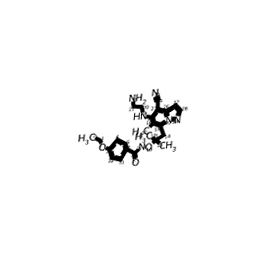 CCOc1ccc(C(=O)[N]OC(C)(C)Cc2c(C)c(NCCN)c(C#N)c3ccnn23)cc1